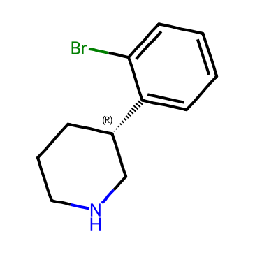 Brc1ccccc1[C@H]1CCCNC1